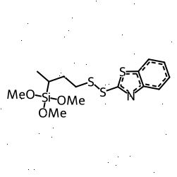 CO[Si](OC)(OC)C(C)CCSSc1nc2ccccc2s1